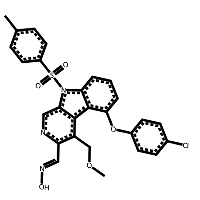 COCc1c(C=NO)ncc2c1c1c(Oc3ccc(Cl)cc3)cccc1n2S(=O)(=O)c1ccc(C)cc1